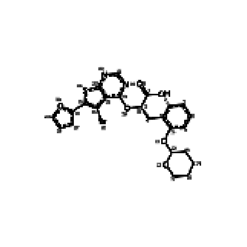 O=C(O)[C@@H](Cc1ccccc1OC1CCCCO1)Oc1ncnc2sc(-c3ccco3)c(Br)c12